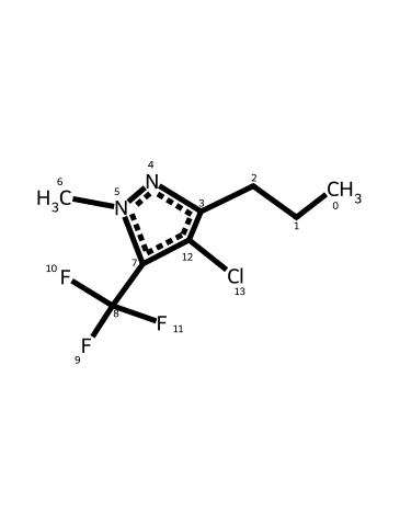 CCCc1nn(C)c(C(F)(F)F)c1Cl